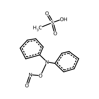 CS(=O)(=O)O.O=NON(c1ccccc1)c1ccccc1